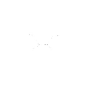 CC(=O)C(C(=O)O)C(=O)C(C)(C)C